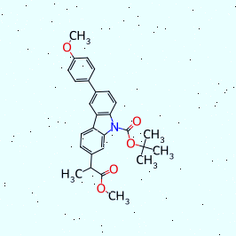 COC(=O)C(C)c1ccc2c3cc(-c4ccc(OC)cc4)ccc3n(C(=O)OC(C)(C)C)c2c1